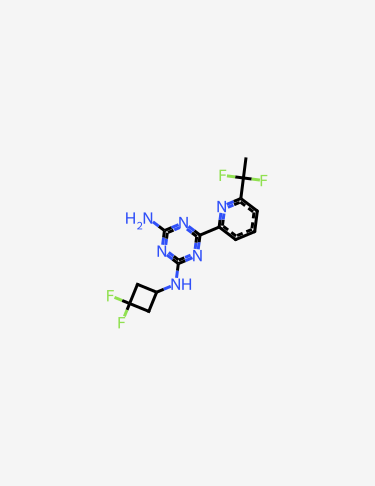 CC(F)(F)c1cccc(-c2nc(N)nc(NC3CC(F)(F)C3)n2)n1